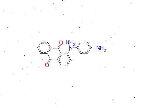 Nc1ccc(N(N)c2cccc3c2C(=O)c2ccccc2C3=O)cc1